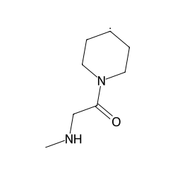 CNCC(=O)N1CC[CH]CC1